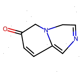 O=C1C=CC2=CN=CCN2C1